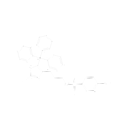 CC(=O)Nc1ccc(S(=O)(=O)NCCCc2nc(F)[nH]c2C(c2ccccc2)(c2ccccc2)c2ccccc2)cc1